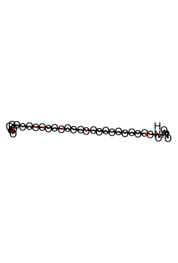 O=C(CCN1C(=O)C=CC1=O)NCCOCCOCCOCCOCCOCCOCCOCCOCCOCCOCCOCCOCCOCCOCCOCCOCCOCCOCCOCCOCCOCCOC(=O)ON1C(=O)CCC1=O